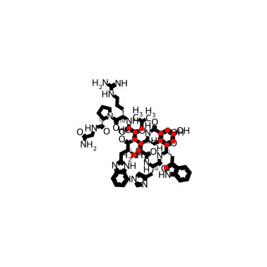 CC(C)C[C@@H](C(=O)N[C@@H](CCCNC(=N)N)C(=O)N1CCC[C@H]1C(=O)NCC(N)=O)N(C(=O)[C@H](N)Cc1nc2ccccc2[nH]1)C(=O)[C@H](Cc1ccc(O)cc1)NC(=O)[C@H](CO)NC(=O)[C@H](Cc1c[nH]c2ccccc12)NC(=O)[C@H](Cc1c[nH]cn1)NC(=O)[C@@H](N)CCC(=O)O